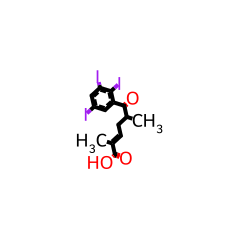 C/C(=C\CC(C)C(=O)c1cc(I)cc(I)c1I)C(=O)O